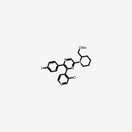 COCC1CCCCN1c1cnc(-c2ccc(F)cc2)c(-c2ccncc2Cl)n1